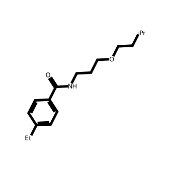 CCc1ccc(C(=O)NCCCOCCC(C)C)cc1